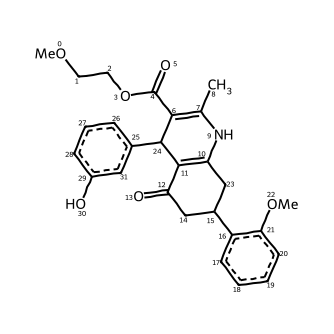 COCCOC(=O)C1=C(C)NC2=C(C(=O)CC(c3ccccc3OC)C2)C1c1cccc(O)c1